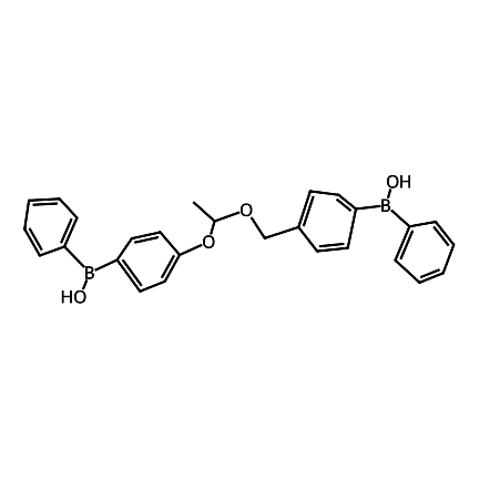 CC(OCc1ccc(B(O)c2ccccc2)cc1)Oc1ccc(B(O)c2ccccc2)cc1